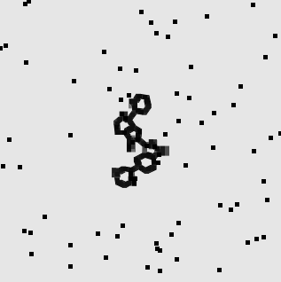 c1ccc(-c2nccc3[nH]c(-c4n[nH]c5ccc(-c6cnccn6)cc45)cc23)nc1